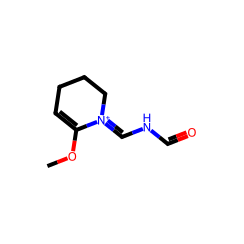 COC1=CCCC[N+]1=CNC=O